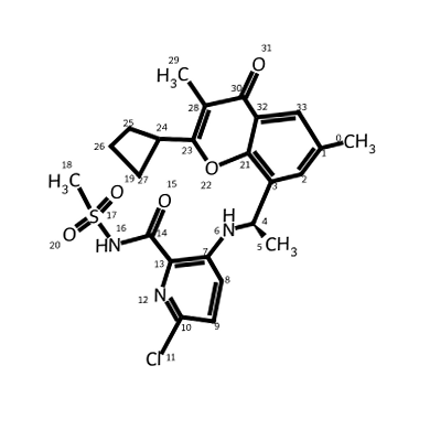 Cc1cc([C@@H](C)Nc2ccc(Cl)nc2C(=O)NS(C)(=O)=O)c2oc(C3CCC3)c(C)c(=O)c2c1